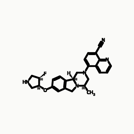 C[C@@H]1CN(c2ccc(C#N)c3ncccc23)C[C@@H]2c3ccc(O[C@H]4CNC[C@@H]4F)cc3CN12